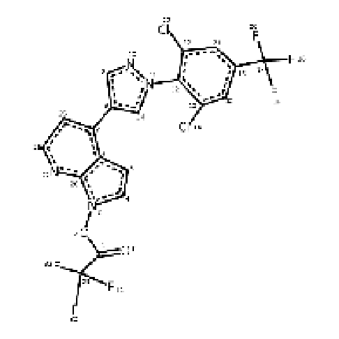 O=C(On1ccc2c(-c3cnn(-c4c(Cl)cc(C(F)(F)F)cc4Cl)c3)ccnc21)C(F)(F)F